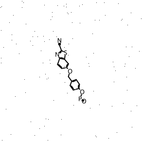 N#Cc1nc2ccc(OCc3ccc(OP=O)cc3)cc2s1